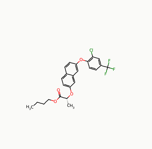 CCCCOC(=O)[C@@H](C)Oc1ccc2ccc(Oc3ccc(C(F)(F)F)cc3Cl)cc2c1